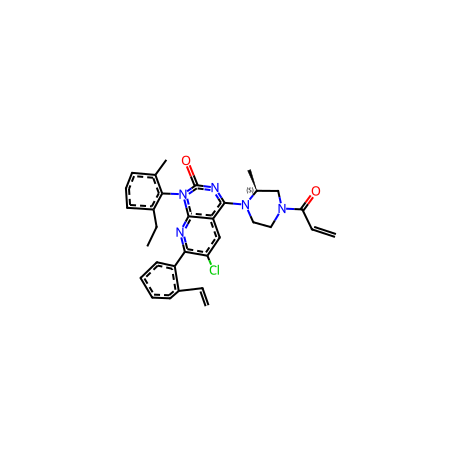 C=CC(=O)N1CCN(c2nc(=O)n(-c3c(C)cccc3CC)c3nc(-c4ccccc4C=C)c(Cl)cc23)[C@@H](C)C1